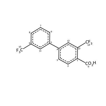 O=C(O)c1ccc(-c2cccc(C(F)(F)F)c2)cc1C(F)(F)F